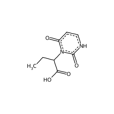 CCC(C(=O)O)n1c(=O)cc[nH]c1=O